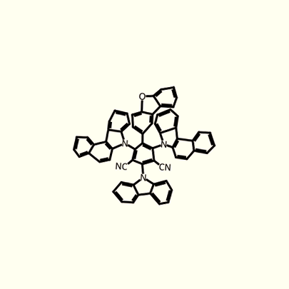 N#Cc1c(-n2c3ccccc3c3ccccc32)c(C#N)c(-n2c3ccccc3c3c4ccccc4ccc32)c(-c2ccc3oc4ccccc4c3c2)c1-n1c2ccccc2c2c3ccccc3ccc21